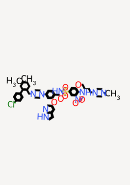 CN1CCN(CC[C@@H]2COc3cc(S(=O)(=O)NC(=O)c4ccc(N5CCN(CC6=C(c7ccc(Cl)cc7)CC(C)(C)CC6)CC5)cc4Oc4cnc5[nH]ccc5c4)cc([N+](=O)[O-])c3N2)CC1